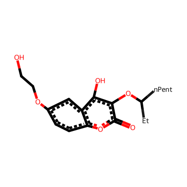 CCCCCC(CC)Oc1c(O)c2cc(OCCO)ccc2oc1=O